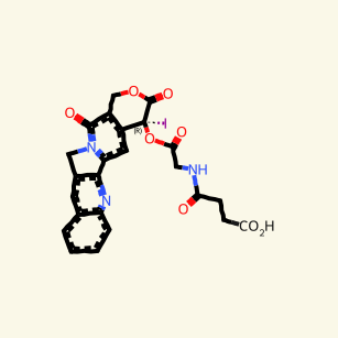 O=C(O)CCC(=O)NCC(=O)O[C@]1(I)C(=O)OCc2c1cc1n(c2=O)Cc2cc3ccccc3nc2-1